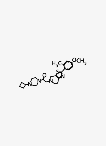 COc1ccc(-c2nc3c(s2)CN(CC(=O)N2CCN(C4CCC4)CC2)CC3)c(C)c1